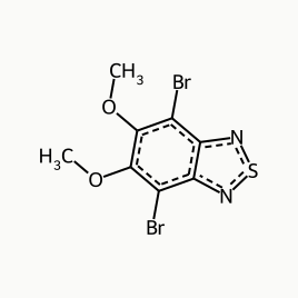 COc1c(OC)c(Br)c2nsnc2c1Br